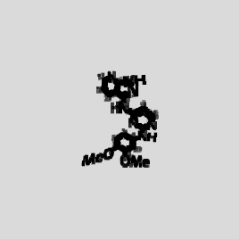 COc1ccc(Nc2nccc(Nc3n[nH]c4ncccc34)n2)cc1OC